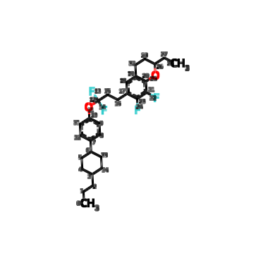 CCCC1CCC(c2ccc(OC(F)(F)CCc3cc4c(c(F)c3F)OC(CC)CC4)cc2)CC1